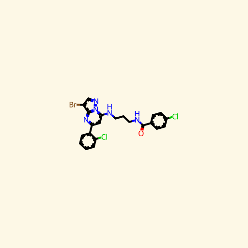 O=C(NCCCNc1cc(-c2ccccc2Cl)nc2c(Br)cnn12)c1ccc(Cl)cc1